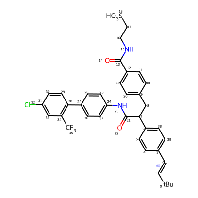 CC(C)(C)/C=C/c1ccc(C(Cc2ccc(C(=O)NCCS(=O)(=O)O)cc2)C(=O)Nc2ccc(-c3ccc(Cl)cc3C(F)(F)F)cc2)cc1